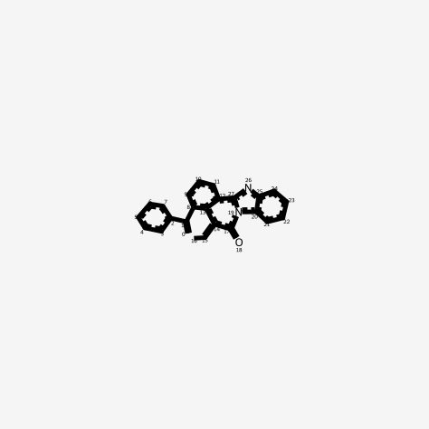 C=C(c1ccccc1)c1cccc2c1/c(=C\C)c(=O)n1c3ccccc3nc21